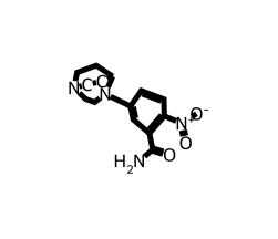 NC(=O)c1cc(N2CCN3CCC2CC3)ccc1[N+](=O)[O-]